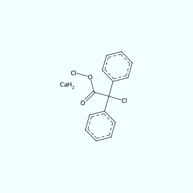 O=C(OCl)C(Cl)(c1ccccc1)c1ccccc1.[CaH2]